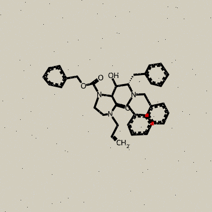 C=CCN1CCN(C(=O)OCc2ccccc2)C(C(O)[C@H](Cc2ccccc2)N(Cc2ccccc2)Cc2ccccc2)C1=O